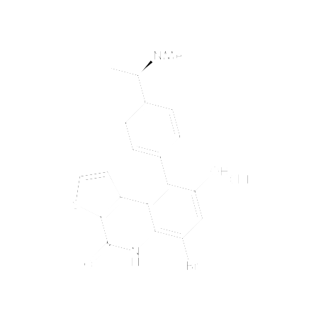 CN[C@H](C)c1ccc(-c2c(O)cc(Br)c3[nH]c(=O)c4sccc4c23)cc1.Cl